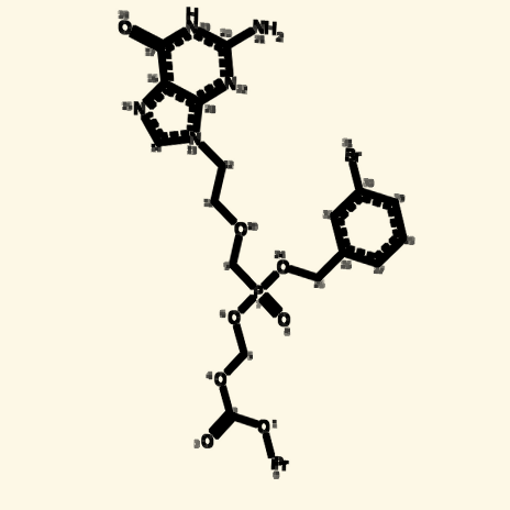 CC(C)OC(=O)OCOP(=O)(COCCn1cnc2c(=O)[nH]c(N)nc21)OCc1cccc(Br)c1